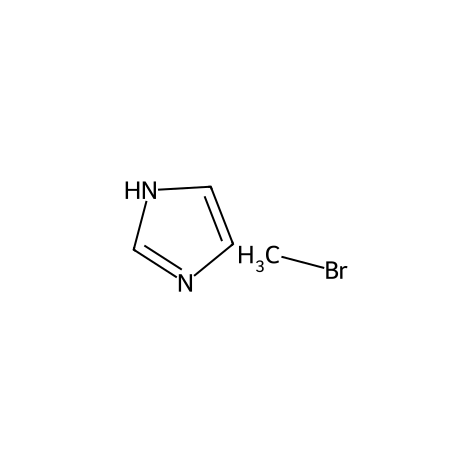 CBr.c1c[nH]cn1